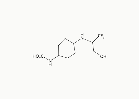 O=C(O)NC1CCC(NC(CO)C(F)(F)F)CC1